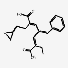 CCC(=CC(=Cc1ccccc1)C=C(CCC1CO1)C(=O)O)C(=O)O